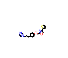 c1csc(-c2coc(COc3ccc(CCCn4ccnc4)cc3)n2)c1